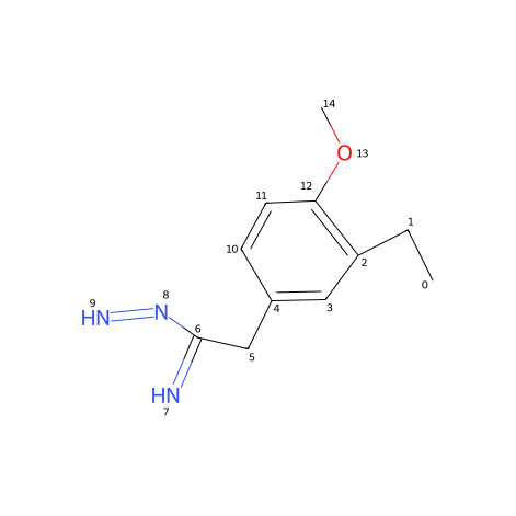 CCc1cc(CC(=N)N=N)ccc1OC